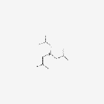 CC(C)CP(CC(C)C)CC(C)C